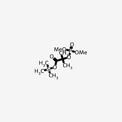 COP(=O)(OC)OC(C)(C)C(=O)O[Si](C)(C)C